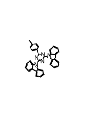 Cc1ccc(-c2nc(-n3c4ccccc4c4ccccc43)nc(-n3c4ccccc4c4ccccc43)n2)cc1